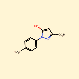 O=C(O)c1[c]c(O)n(-c2ccc(S(=O)(=O)O)cc2)n1